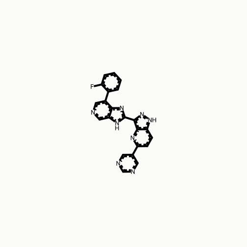 Fc1ccccc1-c1cncc2[nH]c(-c3n[nH]c4ccc(-c5cncnc5)nc34)nc12